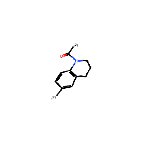 CC(C)C(=O)N1CCCc2cc(C(C)C)ccc21